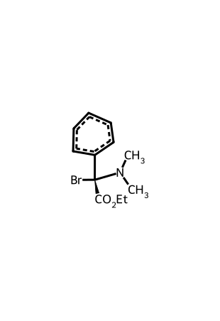 CCOC(=O)[C@@](Br)(c1ccccc1)N(C)C